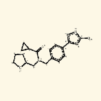 O=C(C1CC1)N(Cc1ccc(-c2noc(C(F)(F)F)n2)cc1)CC1CCCO1